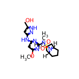 COc1cc(Nc2cc(CO)[nH]n2)nc(N(C)[C@@H]2C[C@H]3CCC[C@@H](C2)N3S(C)(=O)=O)n1